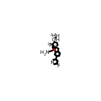 [2H]C([2H])([2H])O[C@@H]1CC[C@]2(Cc3ccc(-c4cncc(F)c4)cc3[C@]23N=C(N)OC3([2H])[2H])C[C@H]1C